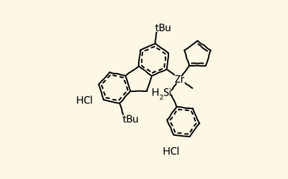 CC(C)(C)c1cc2c([c]([Zr]([CH3])([SiH2]c3ccccc3)[C]3=CC=CC3)c1)Cc1c-2cccc1C(C)(C)C.Cl.Cl